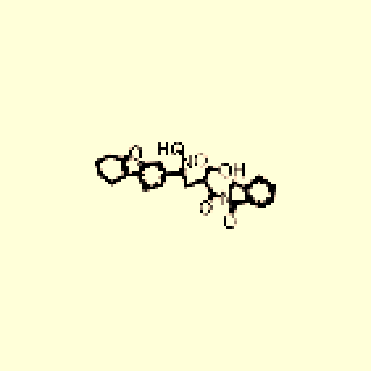 O=C(O)C(CC(=NO)c1ccc2c3c(oc2c1)CCCC3)C(=O)N1Cc2ccccc2C1=O